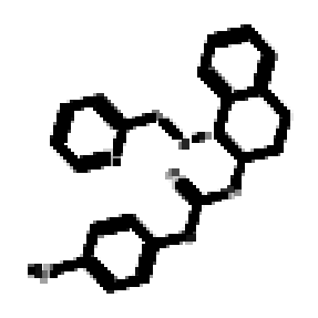 O=C(Oc1ccc([N+](=O)[O-])cc1)O[C@@H]1CCc2ccccc2[C@H]1SSc1ccccn1